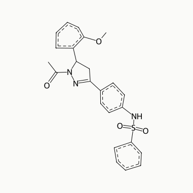 COc1ccccc1C1CC(c2ccc(NS(=O)(=O)c3ccccc3)cc2)=NN1C(C)=O